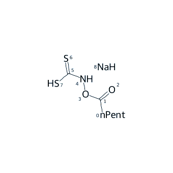 CCCCCC(=O)ONC(=S)S.[NaH]